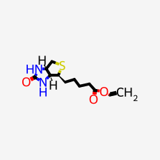 C=COC(=O)CCCC[C@@H]1SC[C@@H]2NC(=O)N[C@@H]21